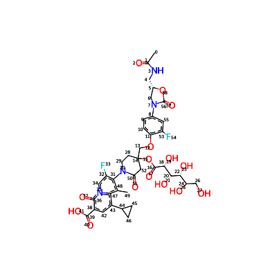 CC(=O)NC[C@H]1CN(c2ccc(OCC3(OC(=O)[C@H](O)[C@@H](O)[C@H](O)[C@H](O)CO)CCN(c4c(F)cn5c(=O)c(C(=O)O)cc(C6CC6)c5c4C)C(=O)C3)c(F)c2)C(=O)O1